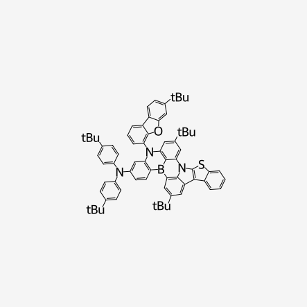 CC(C)(C)c1ccc(N(c2ccc(C(C)(C)C)cc2)c2ccc3c(c2)N(c2cccc4c2oc2cc(C(C)(C)C)ccc24)c2cc(C(C)(C)C)cc4c2B3c2cc(C(C)(C)C)cc3c5c6ccccc6sc5n-4c23)cc1